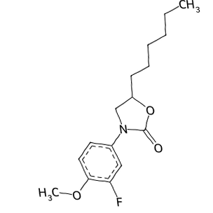 CCCCCCC1CN(c2ccc(OC)c(F)c2)C(=O)O1